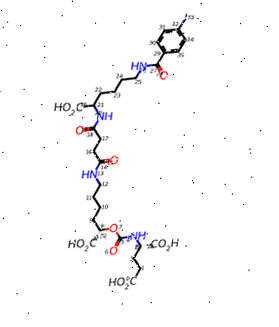 O=C(O)CC[C@H](NC(=O)O[C@@H](CCCCNC(=O)CCC(=O)NC(CCCCNC(=O)c1ccc(I)cc1)C(=O)O)C(=O)O)C(=O)O